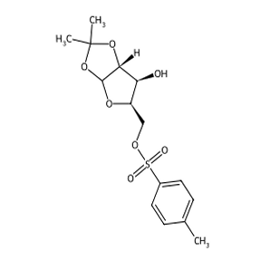 Cc1ccc(S(=O)(=O)OC[C@H]2OC3OC(C)(C)O[C@@H]3[C@H]2O)cc1